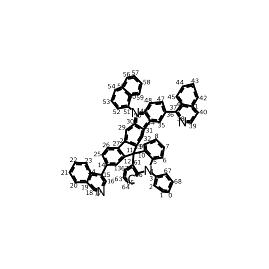 c1ccc(N2c3ccccc3C3(c4cc(-c5cncc6ccccc56)ccc4-c4cc5c(cc43)c3cc(-c4nccc6ccccc46)ccc3n5-c3cccc4ccccc34)c3ccccc32)cc1